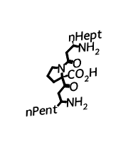 CCCCCCC[C@H](N)CC(=O)N1CCC[C@@]1(C(=O)O)C(=O)CC(N)CCCCC